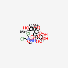 COc1cc([C@@H]2c3cc4c(cc3C(O[C@@H]3O[C@@H]5CO[C@@H](C)O[C@H]5[C@H](O)[C@H]3O)C3COC(=O)[C@@H]32)OCO4)cc(OC)c1O.O=P1(N(CCCl)CCCl)NCCCO1